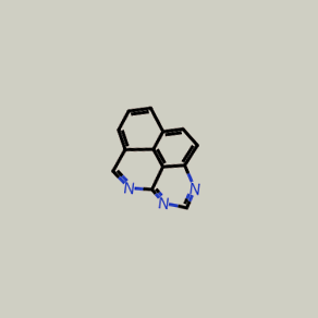 c1cc2ccc3ncnc4ncc(c1)c2c34